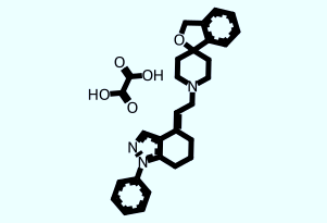 C(CN1CCC2(CC1)OCc1ccccc12)=C1CCCc2c1cnn2-c1ccccc1.O=C(O)C(=O)O